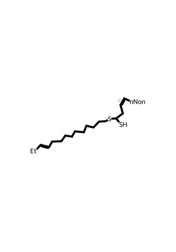 CCC=CCCCCCCCCCCSC(S)C/C=C\CCCCCCCCC